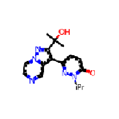 CC(C)n1nc(-c2c(C(C)(C)O)nn3ccncc23)ccc1=O